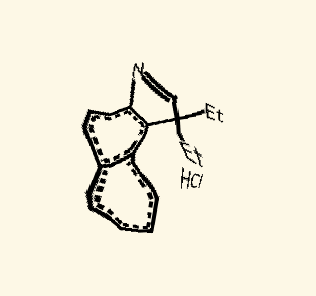 CCC1(CC)C=Nc2ccc3ccccc3c21.Cl